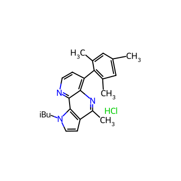 CCC(C)n1ccc2c(C)nc3c(-c4c(C)cc(C)cc4C)ccnc3c21.Cl